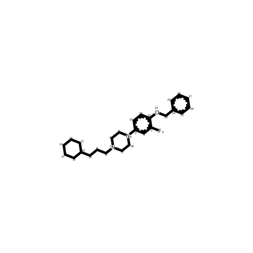 Fc1cc(N2CCN(CCCC3CCCCC3)CC2)ccc1OCc1ccccc1